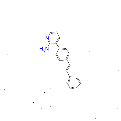 Nc1ncccc1-c1ccc(C=Cc2ccccc2)cc1